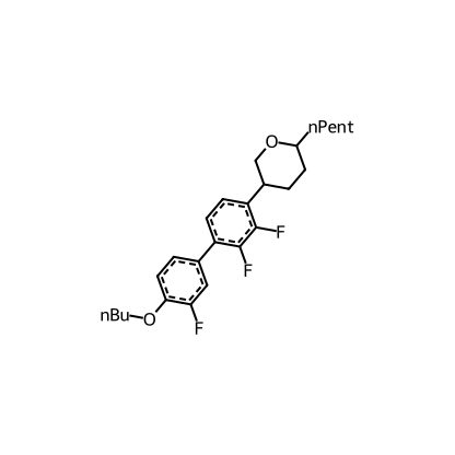 CCCCCC1CCC(c2ccc(-c3ccc(OCCCC)c(F)c3)c(F)c2F)CO1